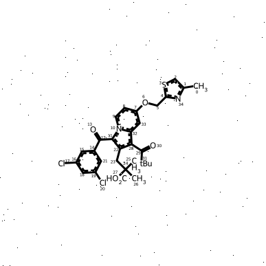 Cc1csc(COc2ccn3c(C(=O)c4cc(Cl)cc(Cl)c4)c(CC(C)(C)C(=O)O)c(C(=O)C(C)(C)C)c3c2)n1